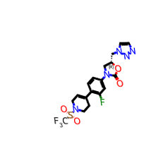 O=C1O[C@@H](Cn2ccnn2)CN1c1ccc(C2=CCN(S(=O)(=O)C(F)(F)F)CC2)c(F)c1